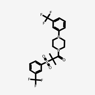 CC(C)(C(=O)N1CCN(c2cccc(C(F)(F)F)c2)CC1)S(=O)(=O)c1cccc(C(F)(F)F)c1